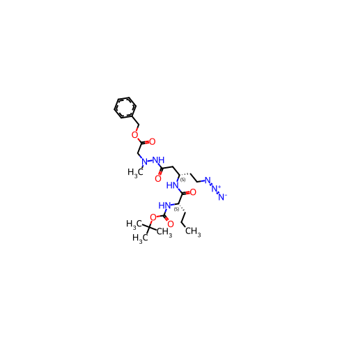 CCC[C@H](NC(=O)OC(C)(C)C)C(=O)N[C@@H](CCN=[N+]=[N-])CC(=O)NN(C)CC(=O)OCc1ccccc1